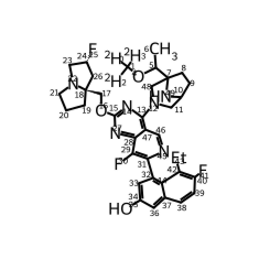 [2H]C([2H])([2H])OC(C)C12CCC(CN(c3nc(OC[C@@]45CCCN4C[C@H](F)C5)nc4c(F)c(-c5cc(O)cc6ccc(F)c(CC)c56)ncc34)C1)N2